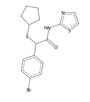 O=C(Nc1nccs1)C(SC1CCCC1)c1ccc(Br)cc1